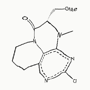 COC[C@H]1C(=O)N2CCCc3nc(Cl)nc(c32)N1C